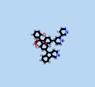 c1cncc(-c2cc(-c3ccc4c(c3)Oc3ccccc3C43c4ccccc4Oc4cc(C5c6ccccc6-c6cnccc65)ccc43)ccn2)c1